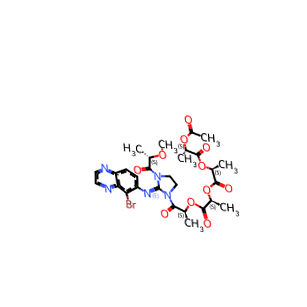 CO[C@@H](C)C(=O)N1CCN(C(=O)[C@H](C)OC(=O)[C@H](C)OC(=O)[C@H](C)OC(=O)[C@H](C)OC(C)=O)/C1=N/c1ccc2nccnc2c1Br